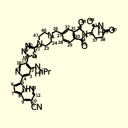 CC(C)Nc1cc(-c2ccc3cc(C#N)cnn23)ncc1-c1nnc(N2CCN(Cc3ccc4c(c3)C(=O)N(C3CCC(=O)NC3=O)C4=O)CC2)s1